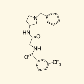 O=C(CNC(=O)c1cccc(C(F)(F)F)c1)NC1CCN(Cc2ccccc2)C1